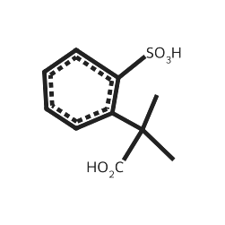 CC(C)(C(=O)O)c1ccccc1S(=O)(=O)O